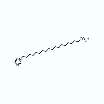 O=C(O)CCCCCCCCCCCCCCCCCCn1ccnc1